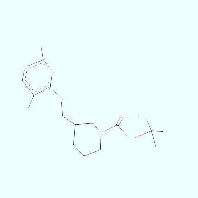 CC(C)(C)OC(=O)N1CCCC(CNc2nc(Cl)ncc2Br)C1